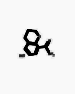 Cl.NC(=O)c1cccc2c1OCCC2